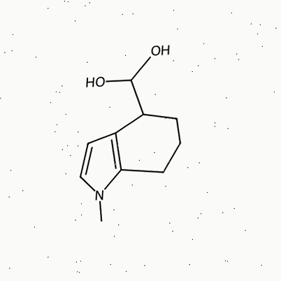 Cn1ccc2c1CCCC2C(O)O